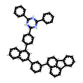 c1ccc(-c2nc(-c3ccccc3)nc(-c3ccc(-c4cc(-c5cccc(-c6ccc7c8c(cccc68)-c6ccccc6-7)c5)cc5ccccc45)cc3)n2)cc1